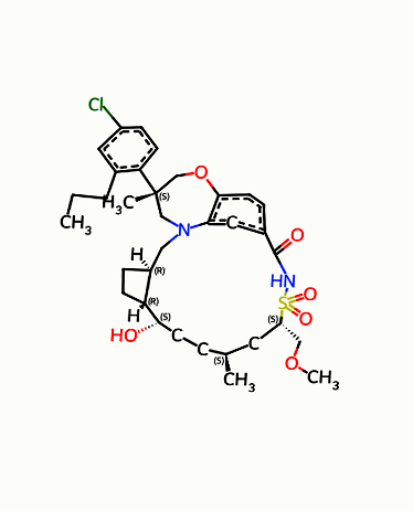 CCCc1cc(Cl)ccc1[C@]1(C)COc2ccc3cc2N(C[C@@H]2CC[C@H]2[C@@H](O)CC[C@H](C)C[C@@H](COC)S(=O)(=O)NC3=O)C1